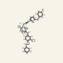 C[C@H](C#Cc1ccc(Cc2ccc(F)cc2)s1)N(OC(=O)Cc1ccc(OCc2ccccc2)c(Cl)c1)C(N)=O